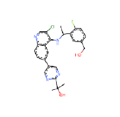 CC(Nc1c(Cl)cnc2ccc(-c3cnc(C(C)(C)O)nc3)cc12)c1cc(CO)ccc1F